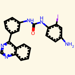 Nc1ccc(NC(=O)Nc2cccc(-c3ncnc4ccccc34)c2)c(I)c1